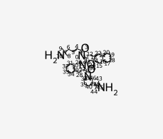 CN(C(=O)/C=C/CC(C)(C)N)[C@H](Cc1ccc2ccccc2c1)C(=O)N(C)[C@H](Cc1ccccc1)C(=O)N1CCC[C@H](C(C)(C)N)C1